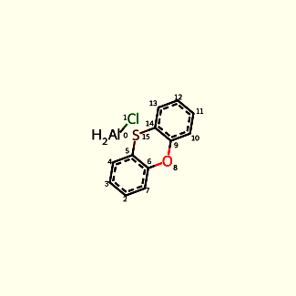 [AlH2][Cl].c1ccc2c(c1)Oc1ccccc1S2